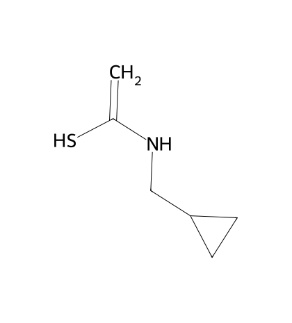 C=C(S)NCC1CC1